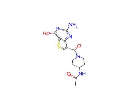 CC(=O)NC1CCN(C(=O)c2csc3c(O)nc(N)nc23)CC1